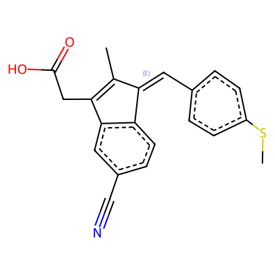 CSc1ccc(/C=C2/C(C)=C(CC(=O)O)c3cc(C#N)ccc32)cc1